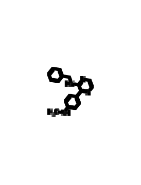 CNc1ccc(-c2nccnc2NCc2ccccc2)cc1